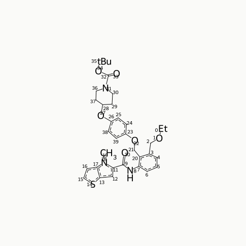 CCOCc1cccc(NC(=O)c2cc3sccc3n2C)c1COc1ccc(OC2CCN(C(=O)OC(C)(C)C)CC2)cc1